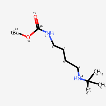 CCC(C)(C)NCCCCNC(=O)OC(C)(C)C